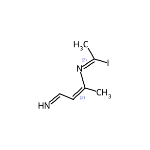 CC(=C/C=N)/N=C(/C)I